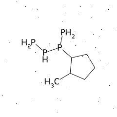 CC1CCCC1P(P)PP